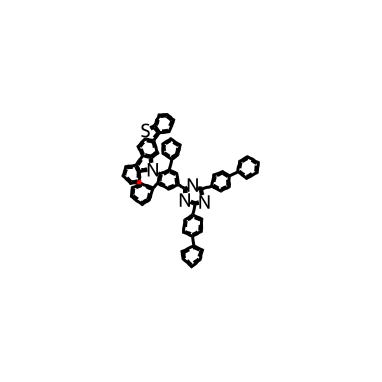 c1ccc(-c2ccc(-c3nc(-c4ccc(-c5ccccc5)cc4)nc(-c4cc(-c5ccccc5)c(-n5c6ccccc6c6cc7sc8ccccc8c7cc65)c(-c5ccccc5)c4)n3)cc2)cc1